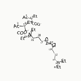 CCC(C(C)=O)C(=O)[O-].CCC(C(C)=O)C(=O)[O-].CCN(CC)CCC[O][Zr+2][O]CCCN(CC)CC